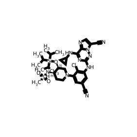 CC(C)[Si](O[C@H]1CN(c2cc(C#N)cc(Nc3nc(NC4CC4)c4ncc(C#N)n4n3)c2Cl)CC[C@H]1NS(C)(=O)=O)(C(C)C)C(C)C